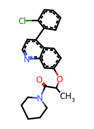 CC(Oc1ccc2c(-c3ccccc3Cl)ccnc2c1)C(=O)N1CCCCC1